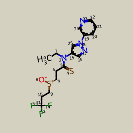 CCN(C(=S)CC[S+]([O-])CCC(F)(F)F)c1cnn(-c2cccnc2)c1